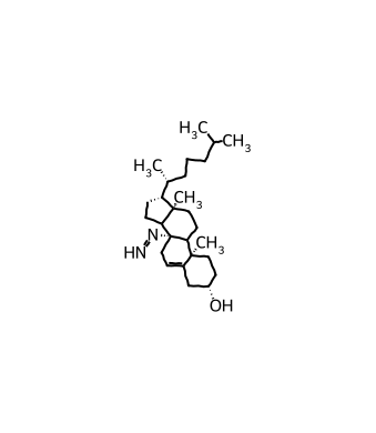 CC(C)CCC[C@@H](C)[C@H]1CCC2[C@]3(N=N)CC=C4C[C@@H](O)CC[C@]4(C)C3CC[C@@]21C